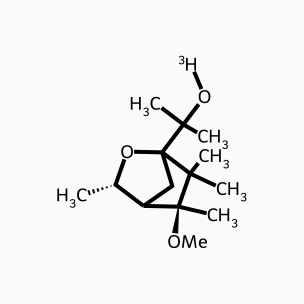 [3H]OC(C)(C)C12CC([C@H](C)O1)[C@](C)(OC)C2(C)C